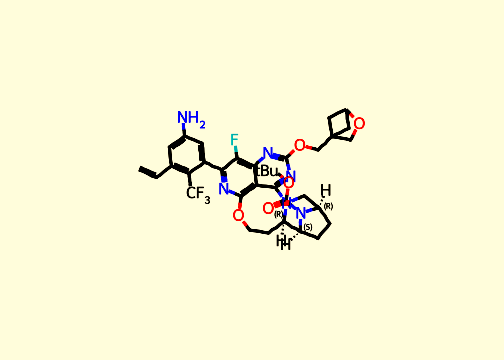 C=Cc1cc(N)cc(-c2nc3c4c(nc(OCC56COC(C5)C6)nc4c2F)N2C[C@H]4CC[C@@H]([C@H]2CCO3)N4C(=O)OC(C)(C)C)c1C(F)(F)F